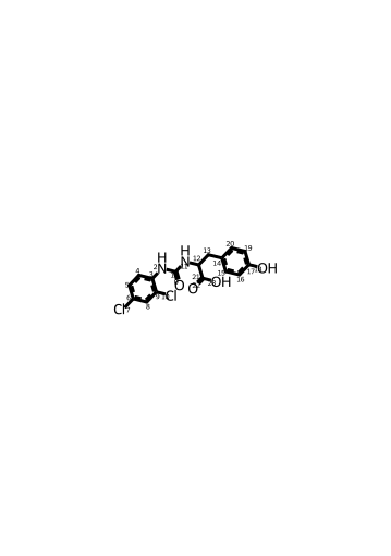 O=C(Nc1ccc(Cl)cc1Cl)NC(Cc1ccc(O)cc1)C(=O)O